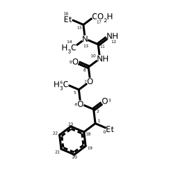 CCC(C(=O)OC(C)OC(=O)NC(=N)N(C)C(CC)C(=O)O)c1ccccc1